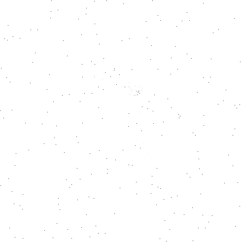 CCCCCCCCCCCCCCCCCCCCCC(=O)NC(C)C(=O)NCCCCCCCCCCCC